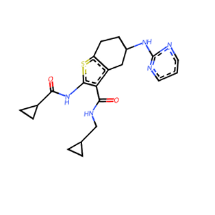 O=C(NCC1CC1)c1c(NC(=O)C2CC2)sc2c1CC(Nc1ncccn1)CC2